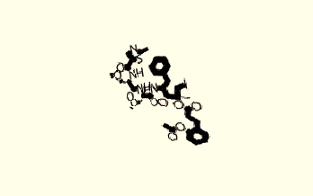 COC[C@H](NC(=O)c1cnc(C)s1)C(=O)N[C@@H](COC)C(=O)NC(Cc1ccccc1)C(=O)[C@@](C)(CI)OC(=O)CCc1ccccc1OC(C)=O